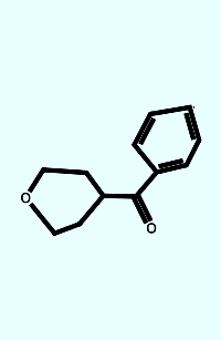 O=C(c1cc[c]cc1)C1CCOCC1